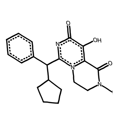 CC(C)N1CCn2c(C(c3ccccc3)C3CCCC3)nc(=O)c(O)c2C1=O